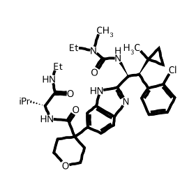 CCNC(=O)[C@H](NC(=O)C1(c2ccc3nc([C@@H](NC(=O)N(C)CC)[C@H](c4ccccc4Cl)C4(C)CC4)[nH]c3c2)CCOCC1)C(C)C